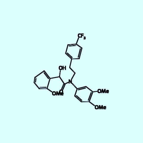 COc1ccc(N(CCc2ccc(C(F)(F)F)cc2)C(=O)C(O)c2ccccc2OC)cc1OC